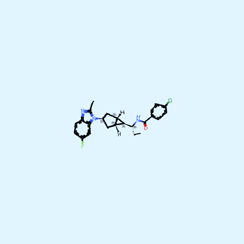 CC[C@@H](NC(=O)c1ccc(Cl)cc1)[C@H]1[C@@H]2C[C@@H](n3c(C)nc4ccc(F)cc43)C[C@@H]21